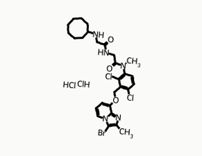 Cc1nc2c(OCc3c(Cl)ccc(N(C)C(=O)CNC(=O)CNC4CCCCCCC4)c3Cl)cccn2c1Br.Cl.Cl